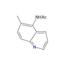 CC(=O)Nc1c(C)ccc2ncccc12